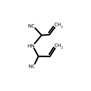 C=CC(C#N)NC(C#N)C=C